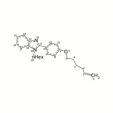 C=CCCCCOc1ccc(-c2nc3ccccc3n2CCCCCC)cc1